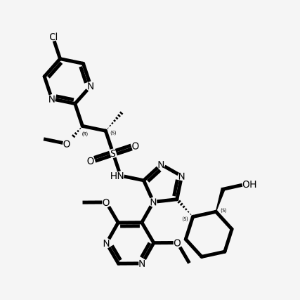 COc1ncnc(OC)c1-n1c(NS(=O)(=O)[C@@H](C)[C@H](OC)c2ncc(Cl)cn2)nnc1[C@H]1CCCC[C@@H]1CO